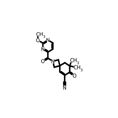 COc1nccc(C(=O)N2CC3(C=C(C#N)C(=O)C(C)(C)C3)C2)n1